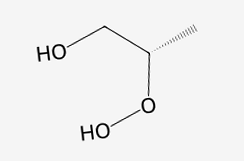 C[C@@H](CO)OO